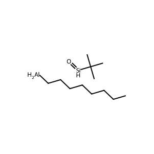 CC(C)(C)[SiH]=O.CCCCCCC[CH2][AlH2]